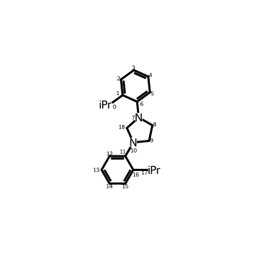 CC(C)c1ccccc1N1CCN(c2ccccc2C(C)C)C1